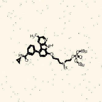 CCN(CCCOc1ccc(-c2cccc(C(=O)NC3CC3)c2)c2c1[nH]c1ncc(C)cc12)CCOP(=O)(OC(C)(C)C)OC(C)(C)C